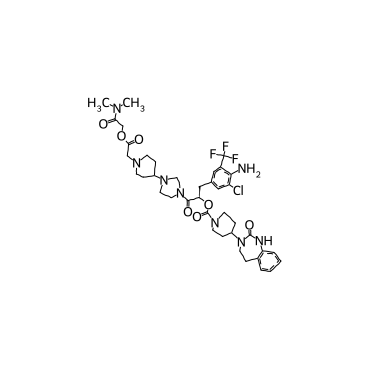 CN(C)C(=O)COC(=O)CN1CCC(N2CCN(C(=O)[C@@H](Cc3cc(Cl)c(N)c(C(F)(F)F)c3)OC(=O)N3CCC(N4CCc5ccccc5NC4=O)CC3)CC2)CC1